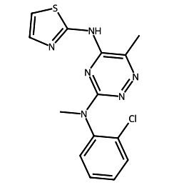 Cc1nnc(N(C)c2ccccc2Cl)nc1Nc1nccs1